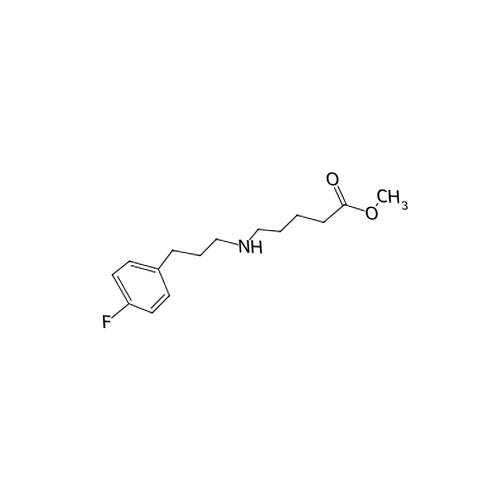 COC(=O)CCCCNCCCc1ccc(F)cc1